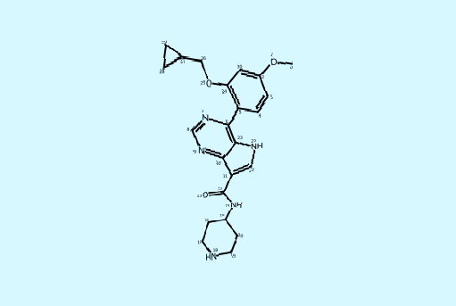 COc1ccc(-c2ncnc3c(C(=O)NC4CCNCC4)c[nH]c23)c(OCC2CC2)c1